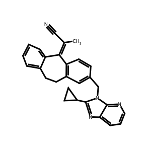 CC(C#N)=C1c2ccccc2CCc2cc(Cn3c(C4CC4)nc4cccnc43)ccc21